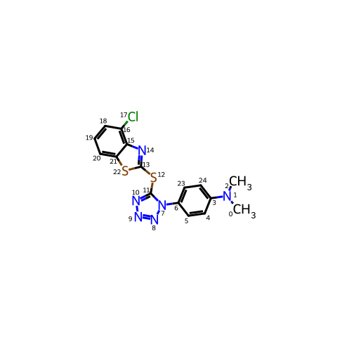 CN(C)c1ccc(-n2nnnc2Sc2nc3c(Cl)cccc3s2)cc1